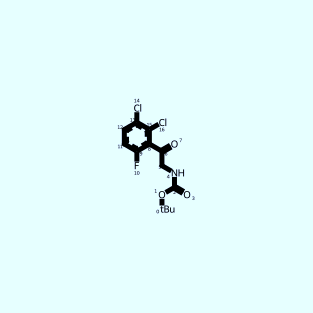 CC(C)(C)OC(=O)NCC(=O)c1c(F)ccc(Cl)c1Cl